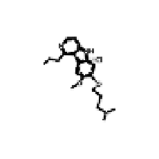 CCCc1nccc2[nH]c3cc(OCCCN(C)C)c(OC)cc3c12.Cl